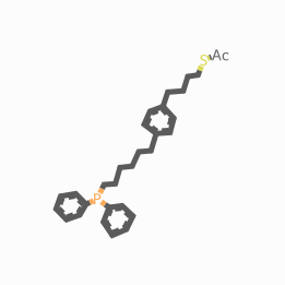 CC(=O)SCCCCc1ccc(CCCCCCP(c2ccccc2)c2ccccc2)cc1